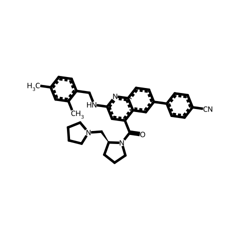 Cc1ccc(CNc2cc(C(=O)N3CCC[C@H]3CN3CCCC3)c3cc(-c4ccc(C#N)cc4)ccc3n2)c(C)c1